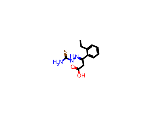 CCc1ccccc1C(CC(=O)O)=NNC(N)=S